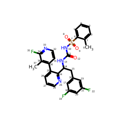 Cc1ccccc1S(=O)(=O)NC(=O)NC(Cc1cc(F)cc(F)c1)c1ncccc1-c1ccnc(F)c1C